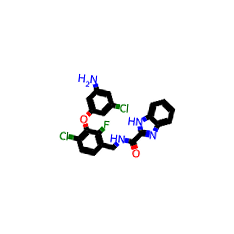 Nc1cc(Cl)cc(Oc2c(Cl)ccc(CNC(=O)c3nc4ccccc4[nH]3)c2F)c1